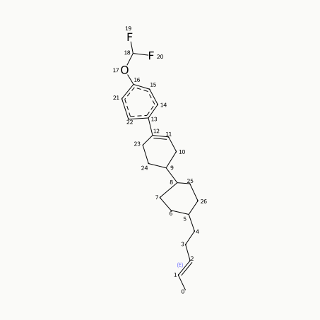 C/C=C/CCC1CCC(C2CC=C(c3ccc(OC(F)F)cc3)CC2)CC1